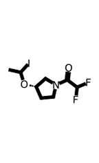 CC(I)O[C@H]1CCN(C(=O)C(F)F)C1